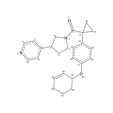 O=C(N1CCC(c2ccncc2)C1)C1(c2ccc(OC3C=CCCC3)cc2)CC1